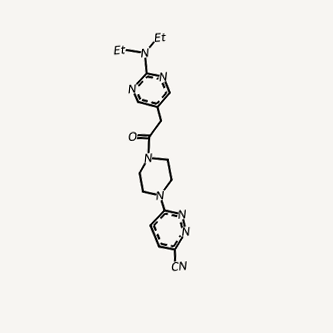 CCN(CC)c1ncc(CC(=O)N2CCN(c3ccc(C#N)nn3)CC2)cn1